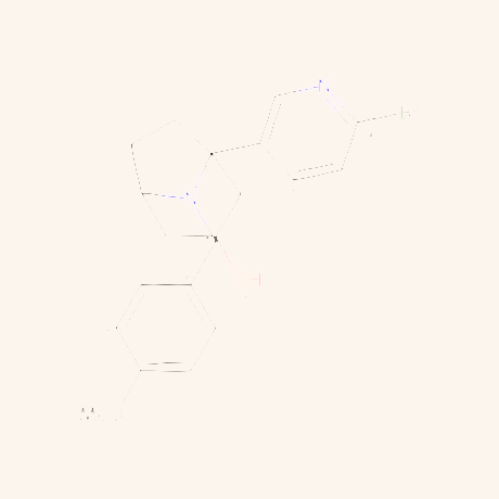 COc1ccc(CN2C3CCC2(c2ccc(Br)nc2)CC(O)C3)cc1